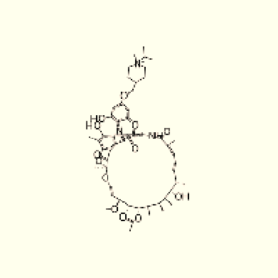 CO[C@H]1/C=C/O[C@@]2(C)Oc3c(C)c(O)c4c(=O)c(c5oc6cc(OCC7CC[N+](C)(C(C)C)CC7)cc(O)c6nc-5c4c3C2=O)NC(=O)/C(C)=C\C=C\[C@H](C)[C@H](O)[C@@H](C)[C@@H](C)[C@@H](C)[C@H](OC(C)=O)[C@@H]1C